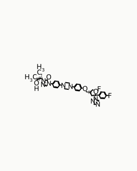 CC[C@@H]([C@H](C)O)n1ncn(-c2ccc(N3CCN(c4ccc(OC[C@H]5COC(c6ccc(F)cc6F)(n6cncn6)C5)cc4)CC3)cc2)c1=O